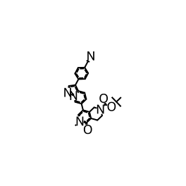 Cn1cc(-c2ccc3c(-c4ccc(C#N)cc4)cnn3c2)c2c(c1=O)CCN(C(=O)OC(C)(C)C)C2